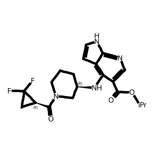 CC(C)OC(=O)c1cnc2[nH]ccc2c1N[C@@H]1CCCN(C(=O)[C@H]2CC2(F)F)C1